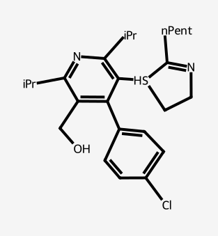 CCCCCC1=NCC[SH]1c1c(C(C)C)nc(C(C)C)c(CO)c1-c1ccc(Cl)cc1